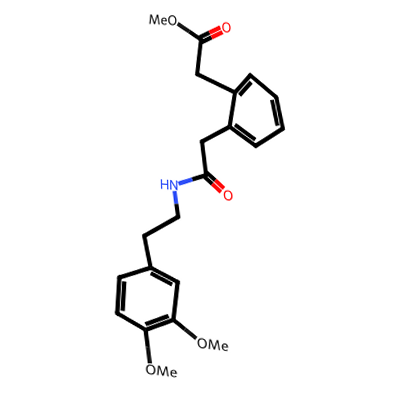 COC(=O)Cc1ccccc1CC(=O)NCCc1ccc(OC)c(OC)c1